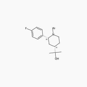 CC(C)N1CC[C@H](C(C)(C)O)C[C@@H]1c1ccc(F)cc1